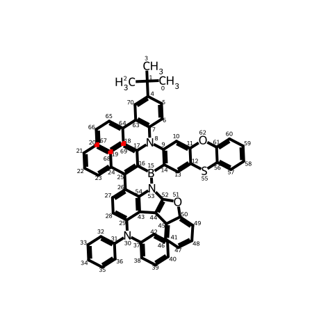 CC(C)(C)c1ccc(N2c3cc4c(cc3B3c5c2cc2ccccc2c5-c2ccc(N(c5ccccc5)c5ccccc5)c5c6c7ccccc7oc6n3c25)Sc2ccccc2O4)c(-c2ccccc2)c1